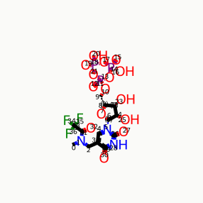 CN(Cc1cn([C@@H]2O[C@H](COP3(=O)OP(=O)(O)OP(=O)(O)O3)[C@H](O)C2O)c(=O)[nH]c1=O)C(=O)C(F)(F)F